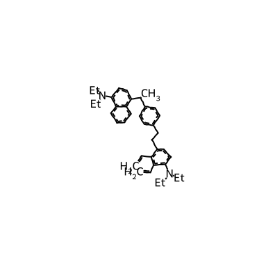 C=Cc1c(CCc2ccc(C(C)c3ccc(N(CC)CC)c4ccccc34)cc2)ccc(N(CC)CC)c1C=C